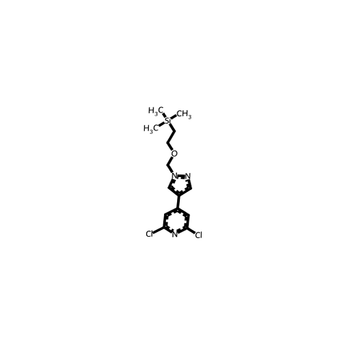 C[Si](C)(C)CCOCn1cc(-c2cc(Cl)nc(Cl)c2)cn1